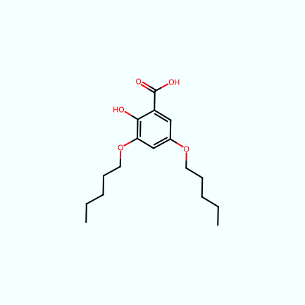 CCCCCOc1cc(OCCCCC)c(O)c(C(=O)O)c1